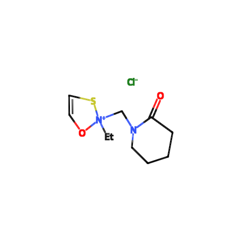 CC[N+]1(CN2CCCCC2=O)OC=CS1.[Cl-]